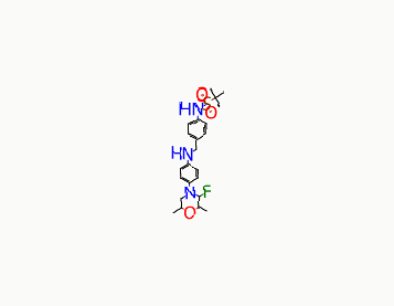 CC1CN(c2ccc(NCc3ccc(NS(=O)(=O)C(C)(C)C)cc3)cc2)C(F)C(C)O1